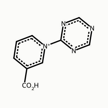 O=C(O)c1ccc[n+](-c2ncncn2)c1